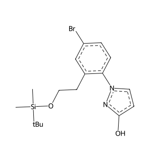 CC(C)(C)[Si](C)(C)OCCc1cc(Br)ccc1-n1ccc(O)n1